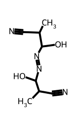 CC(C#N)C(O)N=NC(O)C(C)C#N